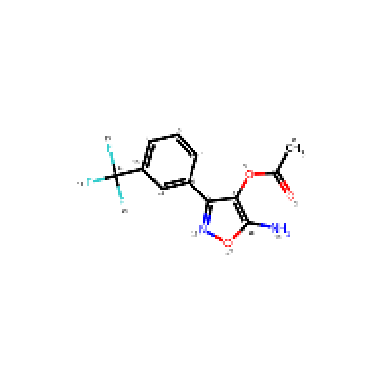 CC(=O)Oc1c(-c2cccc(C(F)(F)F)c2)noc1N